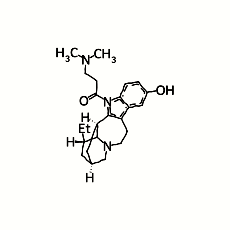 CC[C@H]1C[C@H]2C[C@H]3c4c(c5cc(O)ccc5n4C(=O)CCN(C)C)CCN(C2)C13